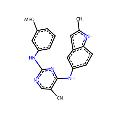 COc1cccc(Nc2ncc(C#N)c(Nc3ccc4[nH]c(C)cc4c3)n2)c1